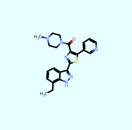 CCc1cccc2c(-c3nc(C(=O)N4CCN(C)CC4)c(-c4cccnc4)s3)n[nH]c12